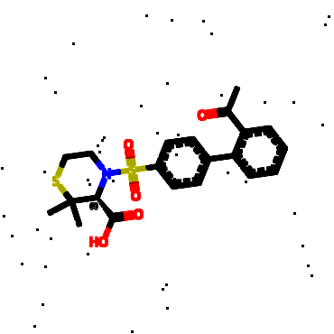 CC(=O)c1ccccc1-c1ccc(S(=O)(=O)N2CCSC(C)(C)[C@@H]2C(=O)O)cc1